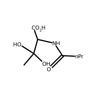 CCCC(=O)NC(C(=O)O)C(C)(O)O